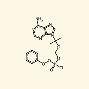 CC(C)(OCOP(=O)(Cl)OOc1ccccc1)n1cnc2c(N)ncnc21